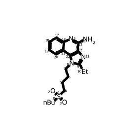 CCCCS(=O)(=O)CCCCn1c(CC)nc2c(N)nc3ccccc3c21